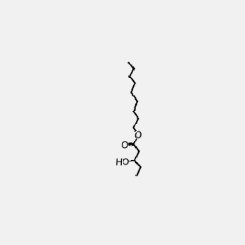 CCCCCCCCCOC(=O)CC(O)CC